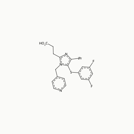 CC(C)c1nc(CCC(=O)O)n(Cc2ccncc2)c1Sc1cc(F)cc(F)c1